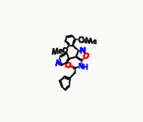 COc1cccc(OC)c1-c1noc(NC(=O)Cc2ccccc2)c1-c1ccncc1